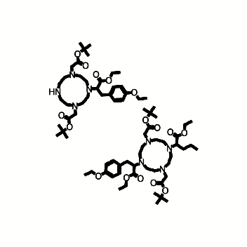 CCCC(C(=O)OCC)N1CCN(CC(=O)OC(C)(C)C)CCN(C(Cc2ccc(OCC)cc2)C(=O)OCC)CCN(CC(=O)OC(C)(C)C)CC1.CCOC(=O)C(Cc1ccc(OCC)cc1)N1CCN(CC(=O)OC(C)(C)C)CCNCCN(CC(=O)OC(C)(C)C)CC1